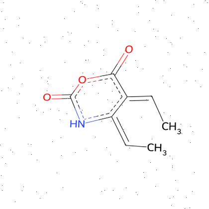 C/C=c1/[nH]c(=O)oc(=O)/c1=C/C